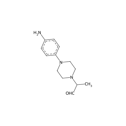 CC(C=O)N1CCN(c2ccc(N)cc2)CC1